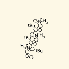 Cn1c2ccccc2c2c3c(ccc21)oc1cc(-c2ccc(C(C)(C)C)c4c5c6c(ccc5n(C)c24)oc2c(-c4cc(C(C)(C)C)cc5c7c8c(ccc7n(C)c45)oc4ccccc48)cccc26)cc(C(C)(C)C)c13